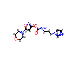 O=C(NCCCn1ccnc1)Oc1cc(N2CCOCC2)on1